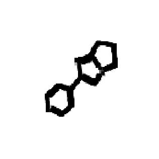 c1cc(-c2cn3c(n2)CCC3)ccn1